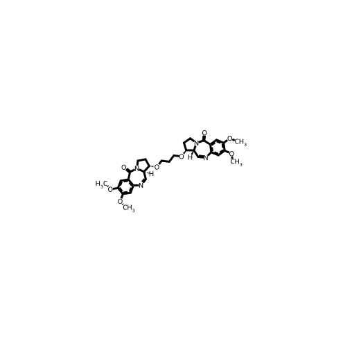 COc1cc2c(cc1OC)C(=O)N1CC[C@H](OCCCO[C@H]3CCN4C(=O)c5cc(OC)c(OC)cc5N=C[C@H]34)[C@H]1C=N2